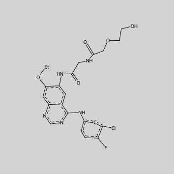 CCOc1cc2ncnc(Nc3ccc(F)c(Cl)c3)c2cc1NC(=O)CNC(=O)COCCO